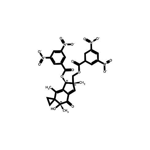 CC1=C2C(=C[C@@](C)(COC(=O)C3C=C([N+](=O)[O-])C=C([N+](=O)[O-])C3)[C@@H]2OC(=O)c2cc([N+](=O)[O-])cc([N+](=O)[O-])c2)C(=O)[C@](C)(O)C12CC2